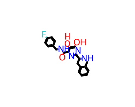 O=C(NCc1ccc(F)cc1)c1nc(C2Cc3ccccc3CN2)nc(O)c1O